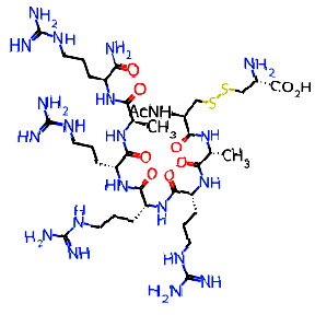 CC(=O)N[C@@H](CSSC[C@H](N)C(=O)O)C(=O)N[C@H](C)C(=O)N[C@H](CCCNC(=N)N)C(=O)N[C@H](CCCNC(=N)N)C(=O)N[C@H](CCCNC(=N)N)C(=O)N[C@H](C)C(=O)N[C@@H](CCCNC(=N)N)C(N)=O